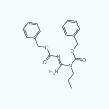 [CH2]CCN(C(=O)OCc1ccccc1)C(N)=NC(=O)OCc1ccccc1